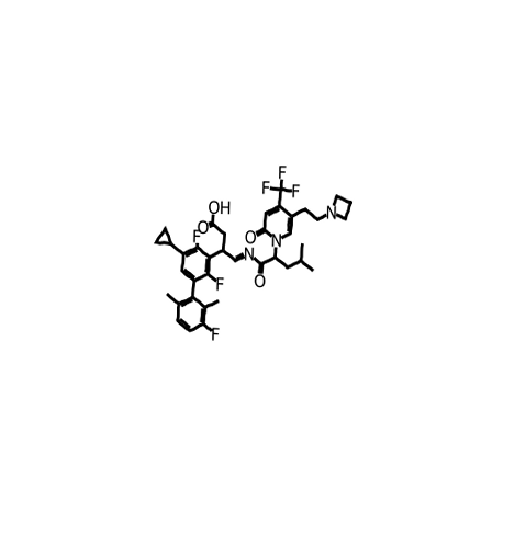 Cc1ccc(F)c(C)c1-c1cc(C2CC2)c(F)c(C(/C=N/C(=O)C(CC(C)C)n2cc(CCN3CCC3)c(C(F)(F)F)cc2=O)CC(=O)O)c1F